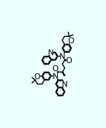 C=C(CCC(=O)N(c1ccc2c(c1)CCC(C)(C)O2)c1cnc2ccccc2c1)C(=O)N(c1ccc2c(c1)CCC(C)(C)O2)c1cnc2ccccc2c1